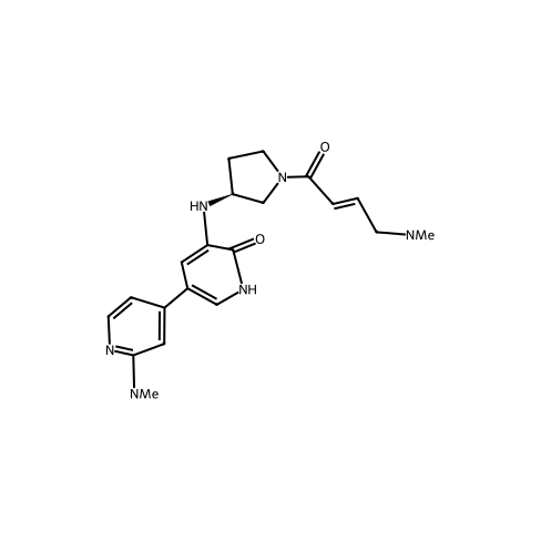 CNC/C=C/C(=O)N1CC[C@H](Nc2cc(-c3ccnc(NC)c3)c[nH]c2=O)C1